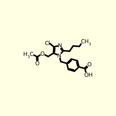 CCCCc1nc(Cl)c(COC(C)=O)n1Cc1ccc(C(=O)O)cc1